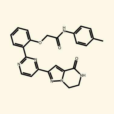 Cc1ccc(NC(=O)COc2ccccc2-c2nccc(-c3cc4n(n3)CCNC4=O)n2)cc1